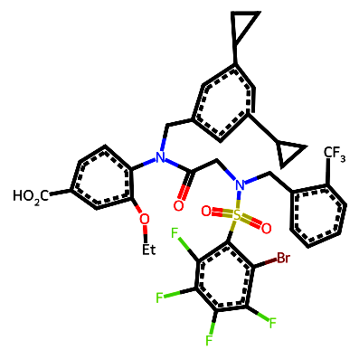 CCOc1cc(C(=O)O)ccc1N(Cc1cc(C2CC2)cc(C2CC2)c1)C(=O)CN(Cc1ccccc1C(F)(F)F)S(=O)(=O)c1c(F)c(F)c(F)c(F)c1Br